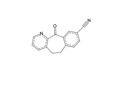 N#Cc1ccc2c(c1)C(=O)c1ncccc1CC2